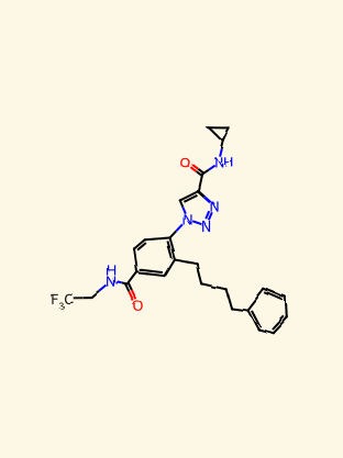 O=C(NCC(F)(F)F)c1ccc(-n2cc(C(=O)NC3CC3)nn2)c(CCCCc2ccccc2)c1